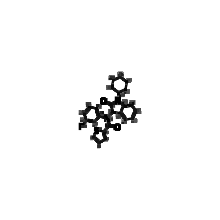 O=C1C(N(C(=O)c2cccs2)c2cccc(F)c2)c2ccccc2N1C1CCCCC1